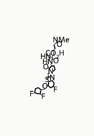 CNC(=O)/C=C/CCC(NC(=O)O)C(=O)Nc1cccn(Cc2nc3cc(F)cc(OCc4ccc(F)cc4F)c3s2)c1=O